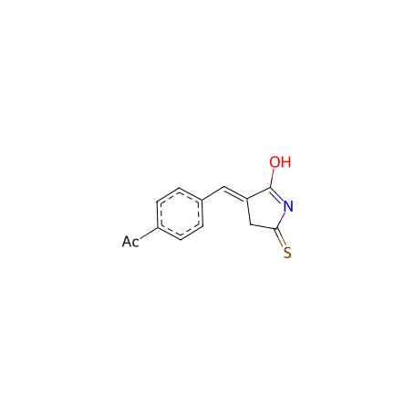 CC(=O)c1ccc(/C=C2\CC(=S)N=C2O)cc1